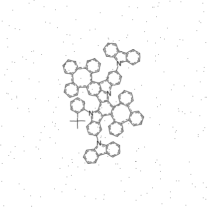 CC(C)(C)c1ccccc1-n1c2ccc(-n3c4ccccc4c4ccccc43)cc2c2c3c4ccccc4c4ccccc4c4ccccc4c3c3c(c4cc5c6ccccc6c6ccccc6c6ccccc6c5c5c6cc(-n7c8ccccc8c8ccccc87)ccc6n3c45)c21